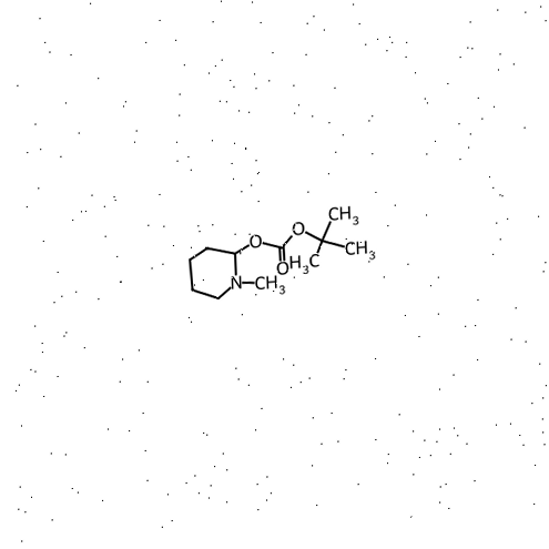 CN1CCCC[C]1OC(=O)OC(C)(C)C